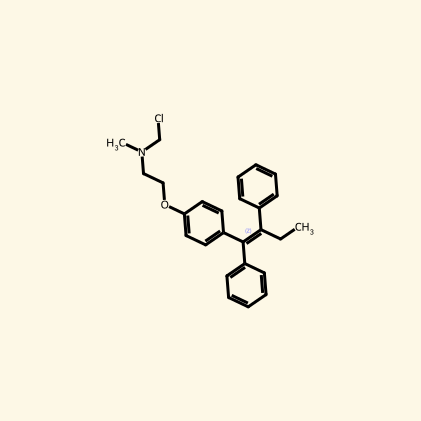 CC/C(=C(\c1ccccc1)c1ccc(OCCN(C)CCl)cc1)c1ccccc1